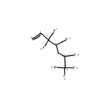 C=CC(F)(F)C(F)CC(F)C(F)(F)F